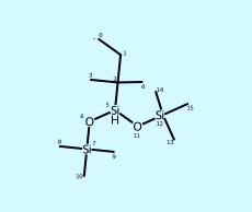 [CH2]CC(C)(C)[SiH](O[Si](C)(C)C)O[Si](C)(C)C